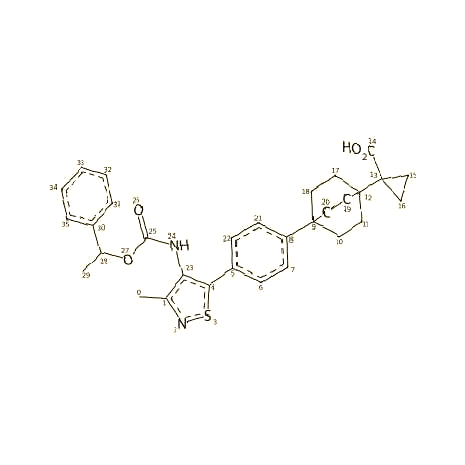 Cc1nsc(-c2ccc(C34CCC(C5(C(=O)O)CC5)(CC3)CC4)cc2)c1NC(=O)OC(C)c1ccccc1